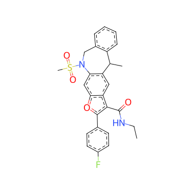 CCNC(=O)c1c(-c2ccc(F)cc2)oc2cc3c(cc12)C(C)c1ccccc1CN3S(C)(=O)=O